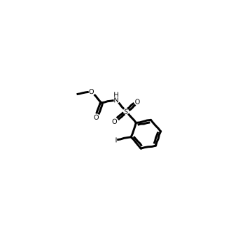 COC(=O)NS(=O)(=O)c1ccccc1I